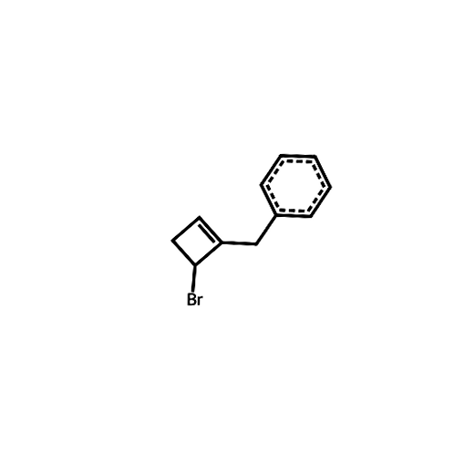 BrC1CC=C1Cc1ccccc1